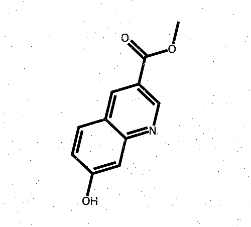 COC(=O)c1cnc2cc(O)ccc2c1